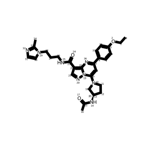 CCOc1ccc(-c2cc(N3CC[C@@H](NC(C)=O)C3)n3ncc(C(=O)NCCCn4ccnc4C)c3n2)cc1